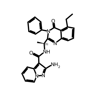 CCc1cccc2nc([C@H](C)NC(=O)c3c(N)nn4ccccc34)n(-c3ccccc3)c(=O)c12